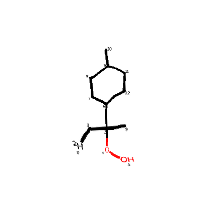 [2H]CC(C)(OO)C1CCC(C)CC1